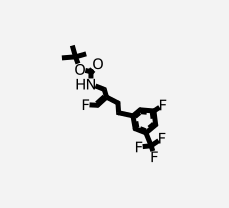 CC(C)(C)OC(=O)NCC(=CF)CCc1cc(F)cc(C(F)(F)F)c1